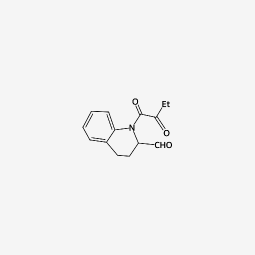 CCC(=O)C(=O)N1c2ccccc2CCC1C=O